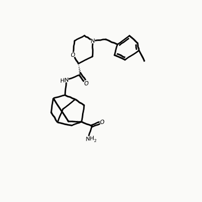 Cc1ccc(CN2CCO[C@@H](C(=O)NC3C4CC5CC3CC(C(N)=O)(C5)C4)C2)cc1